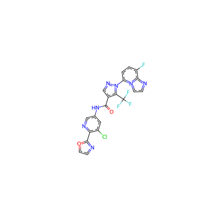 O=C(Nc1cnc(-c2ncco2)c(Cl)c1)c1cnn(-c2ccc(F)c3nccn23)c1C(F)(F)F